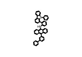 c1ccc(-c2cccc(-c3c4ccccc4c(Nc4ccccc4-c4cccc5c6ccccc6n(-c6ccccc6)c45)c4ccccc34)c2)cc1